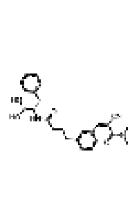 CN(C)C(=O)C(C#N)=Cc1cccc(CCCC(=O)N[C@@H](Cc2ccccc2)B(O)O)c1